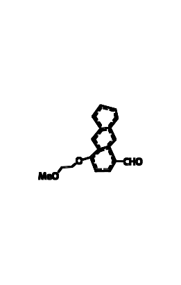 COCCOc1ccc(C=O)c2cc3ccccc3cc12